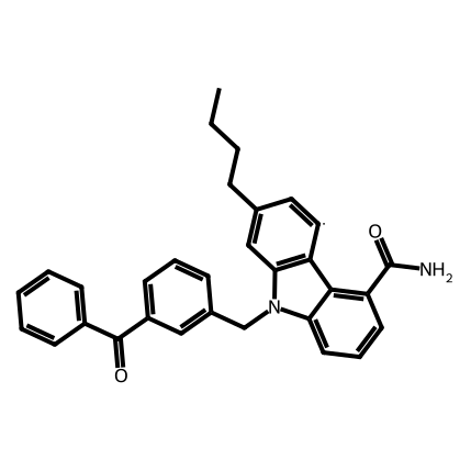 CCCCc1c[c]c2c3c(C(N)=O)cccc3n(Cc3cccc(C(=O)c4ccccc4)c3)c2c1